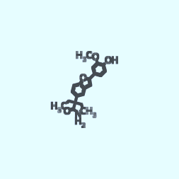 CCC(CC)(C(N)=O)c1ccc2oc(-c3ccc(O)c(OC)c3)cc2c1